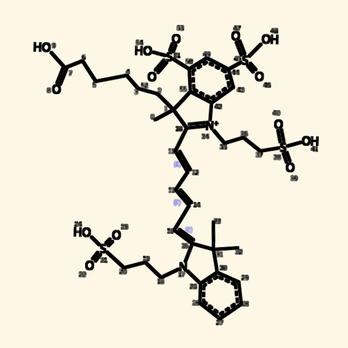 CC1(CCCCCC(=O)O)C(/C=C/C=C/C=C2/N(CCCS(=O)(=O)O)c3ccccc3C2(C)C)=[N+](CCCS(=O)(=O)O)c2cc(S(=O)(=O)O)cc(S(=O)(=O)O)c21